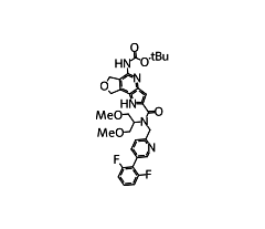 COCC(COC)N(Cc1ccc(-c2c(F)cccc2F)cn1)C(=O)c1cc2nc(NC(=O)OC(C)(C)C)c3c(c2[nH]1)COC3